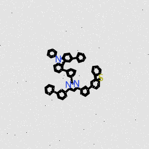 c1ccc(-c2cccc(-c3cc(-c4cccc(-c5ccc6sc7ccccc7c6c5)c4)nc(-c4cccc(-c5cccc6c5c5cc(-c7ccccc7)ccc5n6-c5ccccc5)c4)n3)c2)cc1